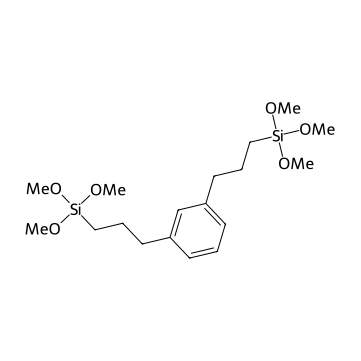 CO[Si](CCCc1cccc(CCC[Si](OC)(OC)OC)c1)(OC)OC